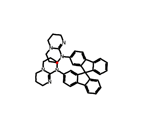 c1ccc2c(c1)-c1ccc(N3CCCN4CCCN=C43)cc1C21c2ccccc2-c2ccc(N3CCCN4CCCN=C43)cc21